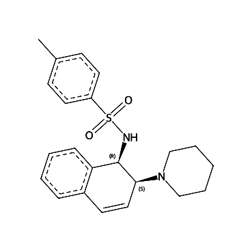 Cc1ccc(S(=O)(=O)N[C@@H]2c3ccccc3C=C[C@@H]2N2CCCCC2)cc1